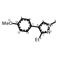 CCc1nn(C)cc1-c1ccc(OC)cc1